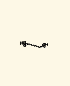 CCC(O)C#CCCCCCCCCCCCCC(=O)O